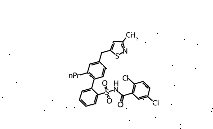 CCCc1cc(Cc2cc(C)ns2)ccc1-c1ccccc1S(=O)(=O)NC(=O)c1cc(Cl)ccc1Cl